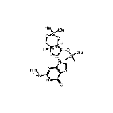 CC(C)(C)[Si](C)(C)O[C@@H]1[C@@H]2O[Si](C(C)(C)C)(C(C)(C)C)OC[C@H]2O[C@H]1n1cnc2c(=O)[nH]c(NN)nc21